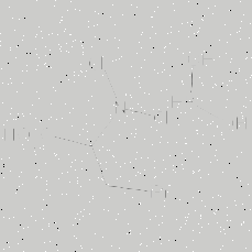 CC(C)CC(C(=O)O)N(Cl)Cl.OBO